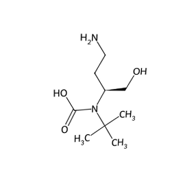 CC(C)(C)N(C(=O)O)[C@H](CO)CCN